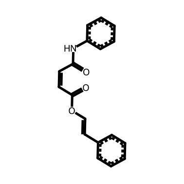 O=C(/C=C\C(=O)OC=Cc1ccccc1)Nc1ccccc1